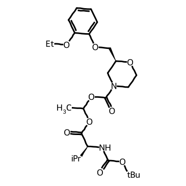 CCOc1ccccc1OC[C@@H]1CN(C(=O)OC(C)OC(=O)[C@@H](NC(=O)OC(C)(C)C)C(C)C)CCO1